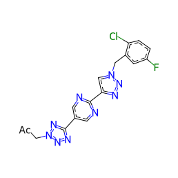 CC(=O)Cn1nnc(-c2cnc(-c3cn(Cc4cc(F)ccc4Cl)nn3)nc2)n1